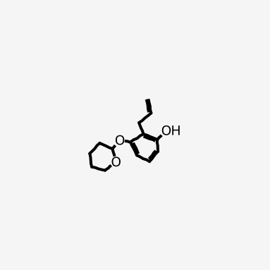 C=CCc1c(O)cccc1OC1CCCCO1